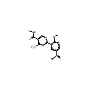 CNC(=O)c1cnc(-c2cc([N+](=O)[O-])ccc2OC)nc1N